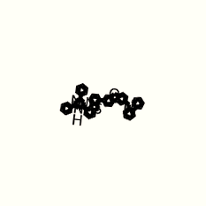 c1ccc(C2=NC(c3ccccc3)NC(c3cccc4sc5c(-c6ccc7c(c6)oc6ccc(-n8c9ccccc9c9ccccc98)cc67)cccc5c34)N2)cc1